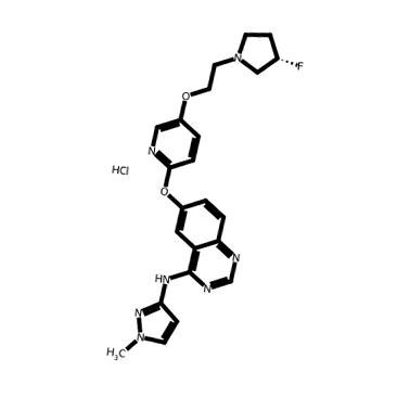 Cl.Cn1ccc(Nc2ncnc3ccc(Oc4ccc(OCCN5CC[C@H](F)C5)cn4)cc23)n1